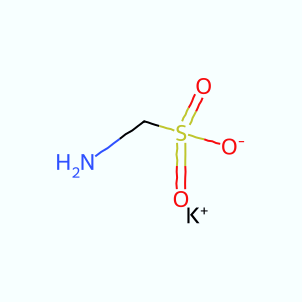 NCS(=O)(=O)[O-].[K+]